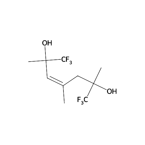 C/C(=C/C(C)(O)C(F)(F)F)CC(C)(O)C(F)(F)F